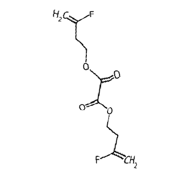 C=C(F)CCOC(=O)C(=O)OCCC(=C)F